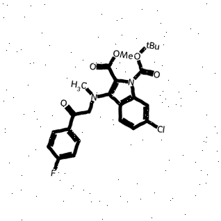 COC(=O)c1c(N(C)CC(=O)c2ccc(F)cc2)c2ccc(Cl)cc2n1C(=O)OC(C)(C)C